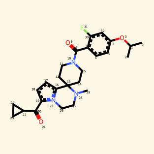 CC(C)Oc1ccc(C(=O)N2CCC3(CC2)c2ccc(C(=O)C4CC4)n2CCN3C)c(F)c1